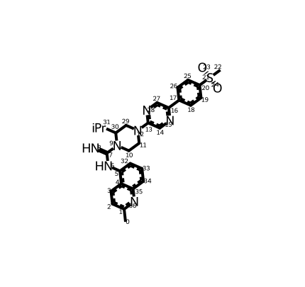 Cc1ccc2c(NC(=N)N3CCN(c4cnc(-c5ccc(S(C)(=O)=O)cc5)cn4)CC3C(C)C)cccc2n1